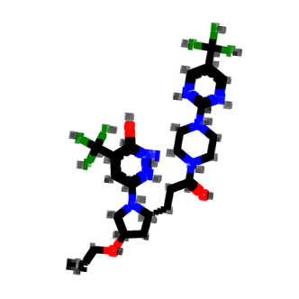 CCO[C@@H]1C[C@@H](CCC(=O)N2CCN(c3ncc(C(F)(F)F)cn3)CC2)N(c2cc(C(F)(F)F)c(=O)[nH]n2)C1